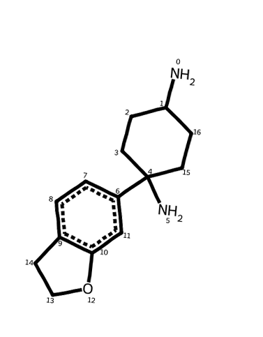 NC1CCC(N)(c2ccc3c(c2)OCC3)CC1